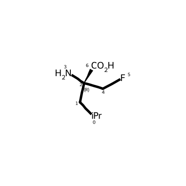 CC(C)C[C@](N)(CF)C(=O)O